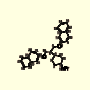 CCCC1CCC(C(COc2ccc3ccccc3c2)COc2ccc3ccccc3c2)CC1